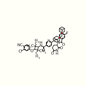 CC1(C)C(NC(=O)c2ccc(N3CCC(CN4CC5CC(C4)N5c4cc5c(cc4F)C(=O)N(C4CCC(=O)NC4=O)C5=O)CC3)nc2)C(C)(C)C1Oc1ccc(C#N)c(Cl)c1